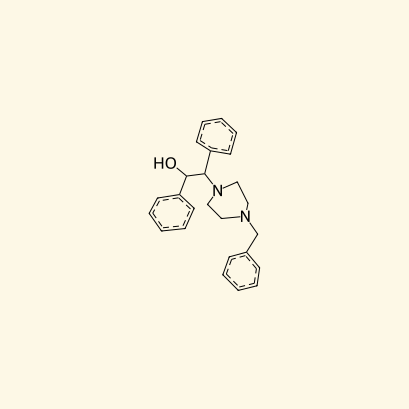 OC(c1ccccc1)C(c1ccccc1)N1CCN(Cc2ccccc2)CC1